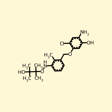 Cc1c(COc2cc(O)c(N)cc2Cl)cccc1NOC(C)(C)C(C)(C)O